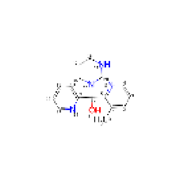 Cc1cccnc1C(O)(c1ccccn1)N1CCCNC1